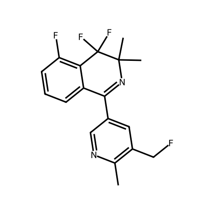 Cc1ncc(C2=NC(C)(C)C(F)(F)c3c(F)cccc32)cc1CF